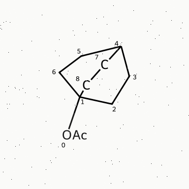 CC(=O)OC12CCC(CC1)CC2